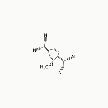 COc1cc(=C(C#N)C#N)ccc1=C(C#N)C#N